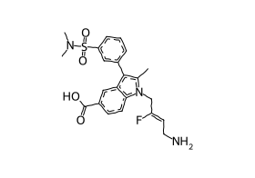 Cc1c(-c2cccc(S(=O)(=O)N(C)C)c2)c2cc(C(=O)O)ccc2n1C/C(F)=C/CN